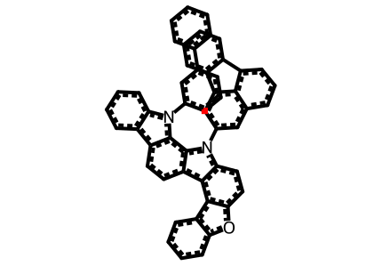 c1ccc(-c2cccc(-n3c4ccccc4c4ccc5c6c7c(ccc6n(-c6cc8c9c(cccc9c6)-c6ccccc6-8)c5c43)oc3ccccc37)c2)cc1